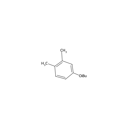 C[C](C)COc1ccc(C)c(C)c1